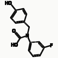 O=C(O)N(Cc1ccc(O)cc1)c1cccc(F)c1